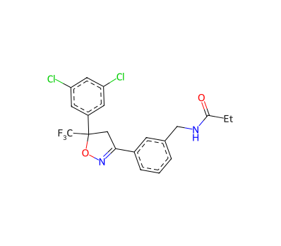 CCC(=O)NCc1cccc(C2=NOC(c3cc(Cl)cc(Cl)c3)(C(F)(F)F)C2)c1